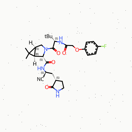 CC(C)(C)[C@H](NC(=O)COc1ccc(F)cc1)C(=O)N1C[C@H]2[C@@H]([C@H]1C(=O)N[C@H](C#N)C[C@@H]1CCNC1=O)C2(C)C